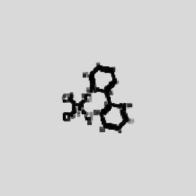 [Cl][Ge]([Cl])([Cl])[Cl].c1ccc(-c2ccccn2)nc1